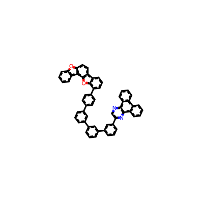 c1cc(-c2ccc(-c3cccc4c3oc3c4ccc4oc5ccccc5c43)cc2)cc(-c2cccc(-c3cccc(-c4cnc5c6ccccc6c6ccccc6c5n4)c3)c2)c1